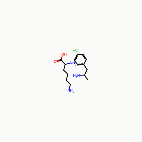 CC(N)Cc1ccccc1.Cl.NCCCCC(N)C(=O)O